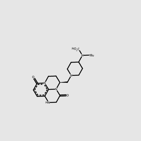 CC(C)(C)N(C(=O)O)C1CCN(C[C@@H]2CCn3c4c(ccc3=O)NCC(=O)N42)CC1